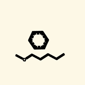 CCCCCOC.c1ccccc1